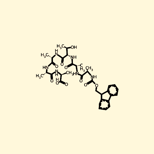 C[C@H](NC(=O)[C@H](C)NC(=O)[C@H](C)NC(=O)[C@@H](NC(=O)[C@H](C)NC(=O)[C@H](C)NC(=O)OCC1c2ccccc2-c2ccccc21)[C@@H](C)O)C(=O)O